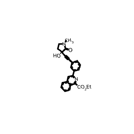 CCOC(=O)c1nc(-c2cccc(C#C[C@]3(O)CCN(C)C3=O)c2)cc2ccccc12